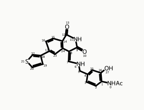 CC(=O)Nc1ccc(CNC=C2C(=O)NC(=O)c3ccc(-c4ccsc4)cc32)cc1O